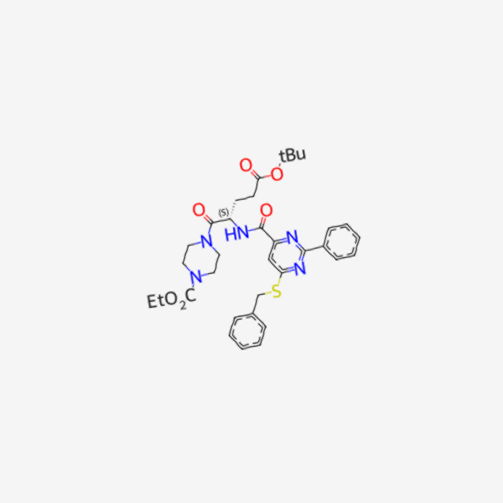 CCOC(=O)N1CCN(C(=O)[C@H](CCC(=O)OC(C)(C)C)NC(=O)c2cc(SCc3ccccc3)nc(-c3ccccc3)n2)CC1